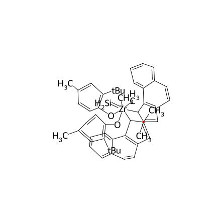 CC1=Cc2ccc3ccccc3c2[CH]1[Zr]([CH3])([CH3])(=[SiH2])([O]c1ccc(C)cc1C(C)(C)C)([O]c1ccc(C)cc1C(C)(C)C)[CH]1C(C)=Cc2ccc3ccccc3c21